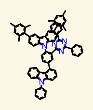 Cc1cc(C)c(-c2ccc3c(c2)c2cc(-c4c(C)cc(C)cc4C)ccc2n3-c2ccc(-c3cccc4c3c3ccccc3n4-c3ccccc3)cc2-c2nc(-c3ccccc3)nc(-c3ccccc3)n2)c(C)c1